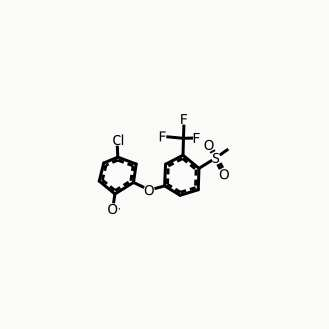 CS(=O)(=O)c1ccc(Oc2cc(Cl)ccc2[O])cc1C(F)(F)F